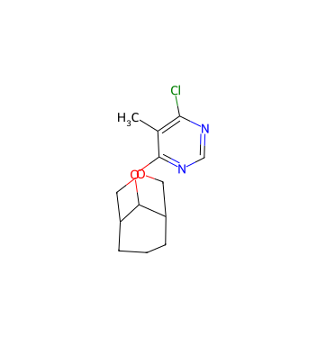 Cc1c(Cl)ncnc1OC1C2CCCC1COC2